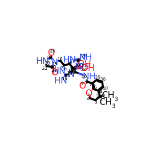 CC1(C)CCOc2c(C(=O)NC3CN4C(=N)NC(CN5C(=O)CNC5=O)C5NC(=N)NC54C3(O)O)cccc21